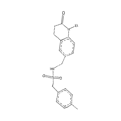 CCN1C(=O)CCc2cc(CNS(=O)(=O)Cc3ccc(C)cc3)ccc21